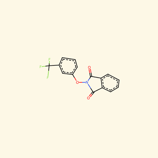 O=C1c2ccccc2C(=O)N1Oc1cccc(C(F)(F)F)c1